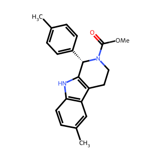 COC(=O)N1CCc2c([nH]c3ccc(C)cc23)[C@@H]1c1ccc(C)cc1